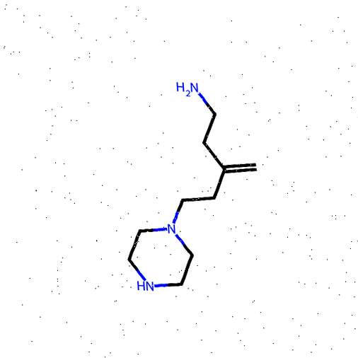 C=C(CCN)CCN1CCNCC1